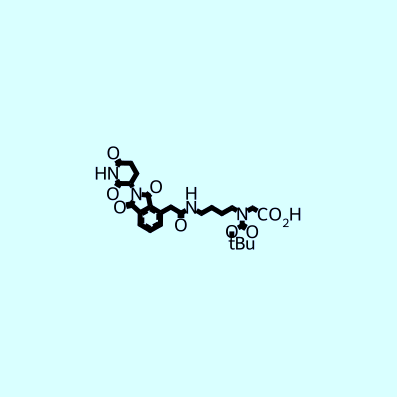 CC(C)(C)OC(=O)N(CCCCNC(=O)Cc1cccc2c1C(=O)N(C1CCC(=O)NC1=O)C2=O)CC(=O)O